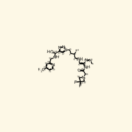 C/N=N\C(=C/NCC(F)CCn1cc(C(O)NCc2cc(C(F)(F)F)ccn2)nn1)NC(=O)CN1CC(F)(F)C1